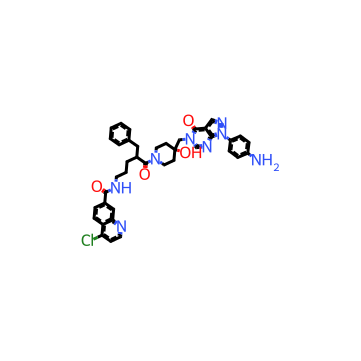 Nc1ccc(-n2ncc3c(=O)n(CC4(O)CCN(C(=O)C(CCCNC(=O)c5ccc6c(Cl)ccnc6c5)Cc5ccccc5)CC4)cnc32)cc1